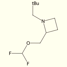 CC(C)(C)CN1CCC1COC(F)F